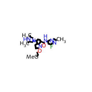 COCCOc1ccc2c(N3CC(C)NC(C)C3)ccc(C(=O)Nc3cc(F)c4nc(C)cn4c3)c2n1